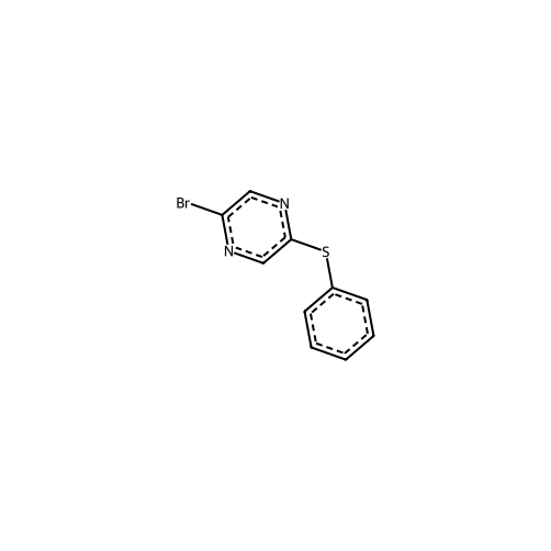 Brc1cnc(Sc2ccccc2)cn1